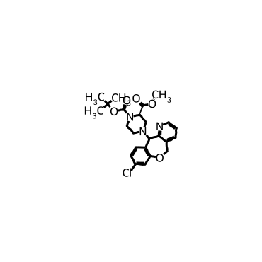 COC(=O)[C@H]1CN(C2c3ccc(Cl)cc3OCc3cccnc32)CCN1C(=O)OC(C)(C)C